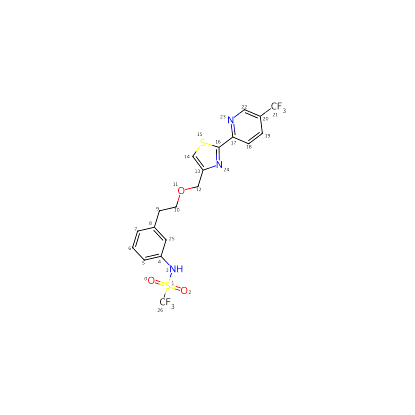 O=S(=O)(Nc1cccc(CCOCc2csc(-c3ccc(C(F)(F)F)cn3)n2)c1)C(F)(F)F